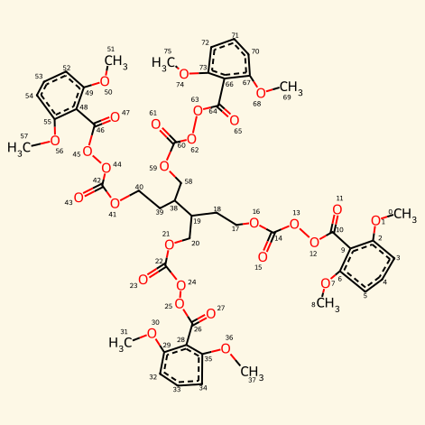 COc1cccc(OC)c1C(=O)OOC(=O)OCCC(COC(=O)OOC(=O)c1c(OC)cccc1OC)C(CCOC(=O)OOC(=O)c1c(OC)cccc1OC)COC(=O)OOC(=O)c1c(OC)cccc1OC